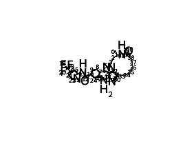 C[C@@H]1CCn2nc(-c3ccc(C(=O)Nc4cc(C(F)(F)F)ccn4)cc3)c3c(N)ncc(c32)CCCCCCC(=O)N1